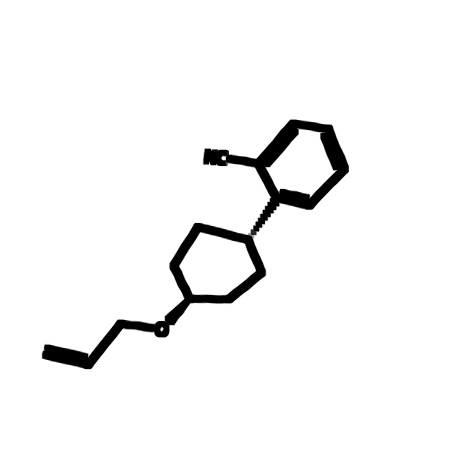 C=CCO[C@H]1CC[C@H](c2ccccc2C#N)CC1